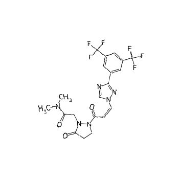 CN(C)C(=O)CN1C(=O)CCN1C(=O)/C=C\n1cnc(-c2cc(C(F)(F)F)cc(C(F)(F)F)c2)n1